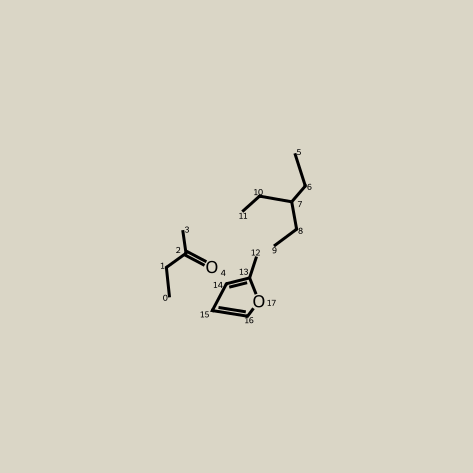 CCC(C)=O.CCC(CC)CC.Cc1ccco1